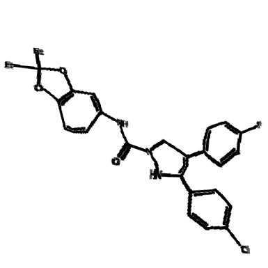 CCC1(CC)Oc2ccc(NC(=O)N3CC(c4ccc(F)cc4)=C(c4ccc(Cl)cc4)N3)cc2O1